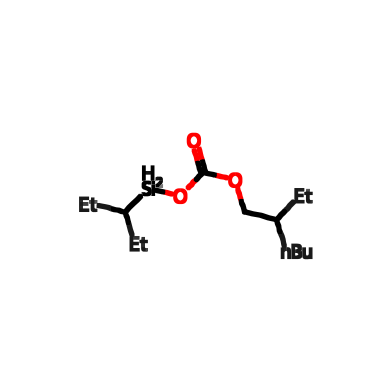 CCCCC(CC)COC(=O)O[SiH2]C(CC)CC